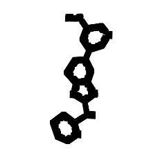 COc1cncc(-c2ccc3nc(Nc4ccccn4)sc3c2)c1